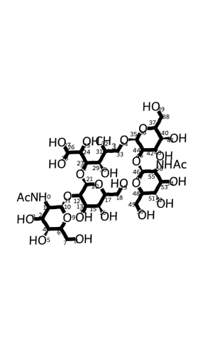 CC(=O)NC1C(O)[C@H](O)C(CO)O[C@H]1OC1C(O)[C@H](O)C(CO)O[C@@H]1OC(C(O)C(O)O)[C@H](O)C(C)CO[C@H]1OC(CO)[C@@H](O)C(O)C1O[C@@H]1OC(CO)[C@@H](O)C(O)C1NC(C)=O